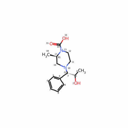 CC(O)[C@H](c1ccccc1)N1CCN(C(=O)O)[C@H](C)C1